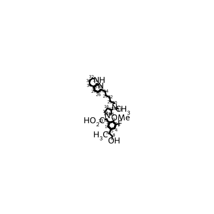 COc1c(F)cc([C@@H](C)CO)cc1C(C(=O)O)N1CC[C@@H](N(C)CCCCCc2ccc3c(n2)NCCC3)C1